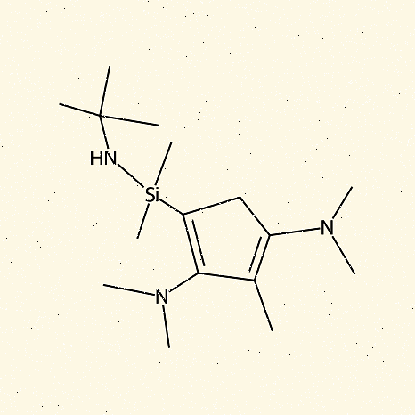 CC1=C(N(C)C)CC([Si](C)(C)NC(C)(C)C)=C1N(C)C